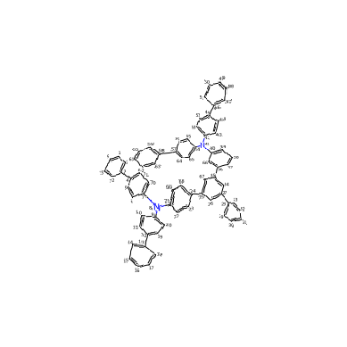 c1ccc(-c2ccc(N(c3ccc(-c4ccccc4)cc3)c3ccc(-c4cc(-c5ccccc5)cc(-c5cccc(N(c6ccc(-c7ccccc7)cc6)c6ccc(-c7ccccc7)cc6)c5)c4)cc3)cc2)cc1